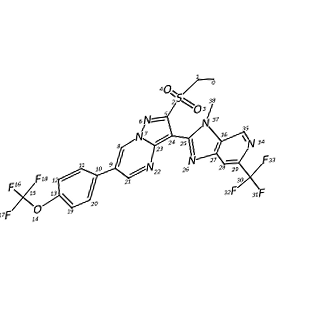 CCS(=O)(=O)c1nn2cc(-c3ccc(OC(F)(F)F)cc3)cnc2c1-c1nc2cc(C(F)(F)F)ncc2n1C